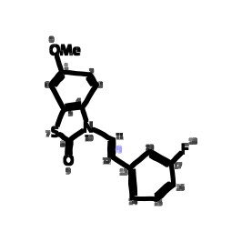 COc1ccc2c(c1)sc(=O)n2/C=C/c1cccc(F)c1